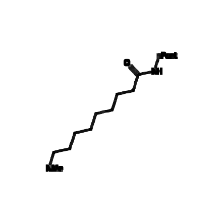 CCCCCNC(=O)CCCCCCCCNC